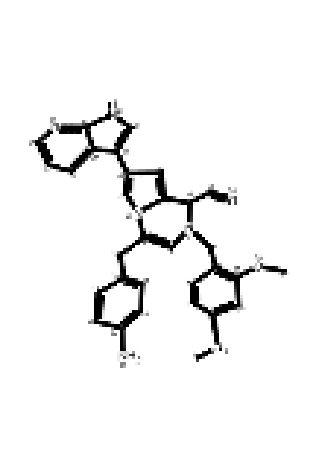 COc1ccc(CN2C=C(Cc3ccc(N)cc3)n3cc(-c4c[nH]c5ncccc45)cc3C2C=O)c(OC)c1